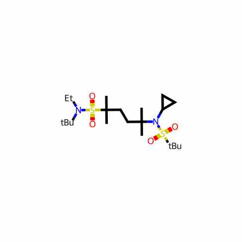 CCN(C(C)(C)C)S(=O)(=O)C(C)(C)CCC(C)(C)N(C1CC1)S(=O)(=O)C(C)(C)C